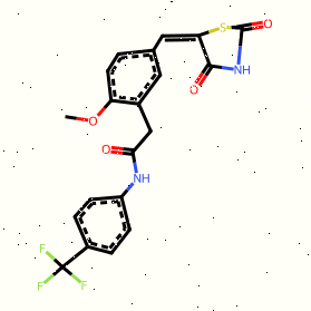 COc1ccc(/C=C2/SC(=O)NC2=O)cc1CC(=O)Nc1ccc(C(F)(F)F)cc1